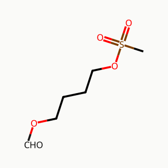 CS(=O)(=O)OCCCCOC=O